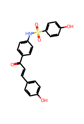 O=C(C=Cc1ccc(O)cc1)c1ccc(NS(=O)(=O)c2ccc(O)cc2)cc1